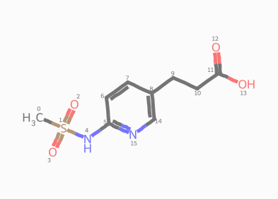 CS(=O)(=O)Nc1ccc(CCC(=O)O)cn1